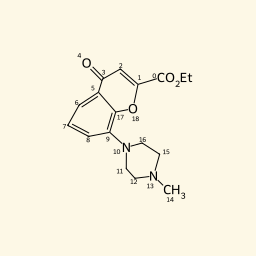 CCOC(=O)c1cc(=O)c2cccc(N3CCN(C)CC3)c2o1